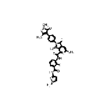 CCn1c2c(C(=O)Nc3cccc(C(=O)Nc4ccn(C)n4)c3F)nc(C)cc2c(=O)n1-c1ccc(-c2c(C)on(C)c2=O)cc1